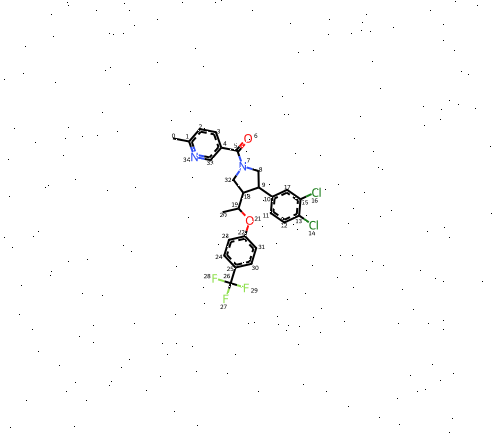 Cc1ccc(C(=O)N2CC(c3ccc(Cl)c(Cl)c3)C(C(C)Oc3ccc(C(F)(F)F)cc3)C2)cn1